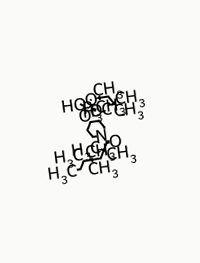 CCC(C)C(C)(C)CC(C)(C)C(=O)N1CCC(OP(=O)(O)OC(C)(C)CC(C)(C)C)CC1